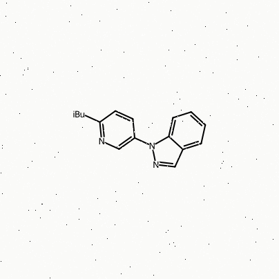 CCC(C)c1ccc(-n2ncc3ccccc32)cn1